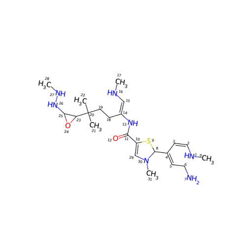 CN/C=C\C(=C/CN)C1SC(C(=O)N/C(=C/NC)CCC(C)(C)C2OC2NNC)=CN1C